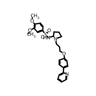 COc1ccc(S(=O)(=O)NC2CCCN2CCCOc2ccc(-c3ccccn3)cc2)cc1OC